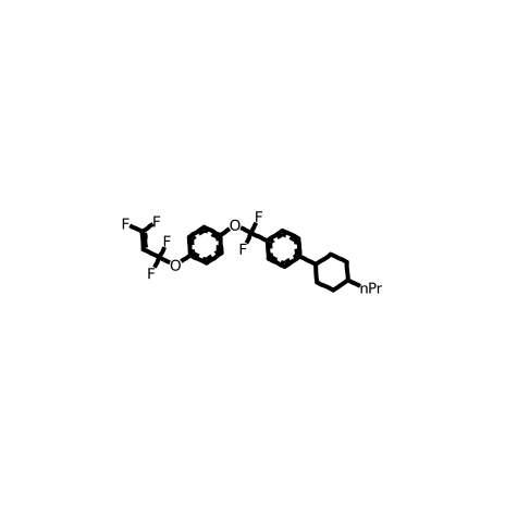 CCCC1CCC(c2ccc(C(F)(F)Oc3ccc(OC(F)(F)C=C(F)F)cc3)cc2)CC1